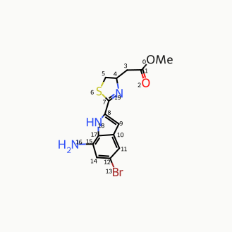 COC(=O)CC1CSC(c2cc3cc(Br)cc(N)c3[nH]2)=N1